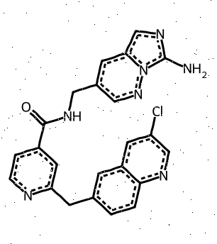 Nc1ncc2cc(CNC(=O)c3ccnc(Cc4ccc5ncc(Cl)cc5c4)c3)cnn12